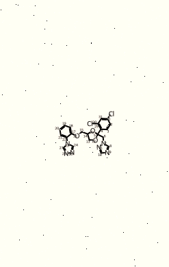 Clc1ccc(C2(Cn3cncn3)OCC(COc3ccccc3-n3cnnc3)O2)c(Cl)c1